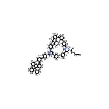 C#CCC/C=C(\C)c1cc(-c2ccccc2)nc(-c2ccc(-c3cccc(-c4cccc5c4C4=C(C(c6cccc(-c7cc(-c8ccccc8)nc(-c8ccc(-c9cccc(-c%10cccc%11c%10-c%10ccccc%10C%11(c%10ccccc%10)c%10ccccc%10)c9)cc8)n7)c6)CC=C4)C5(C)C)c3)cc2)n1